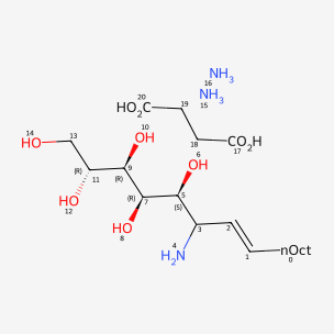 CCCCCCCCC=CC(N)[C@H](O)[C@@H](O)[C@H](O)[C@H](O)CO.N.N.O=C(O)CCC(=O)O